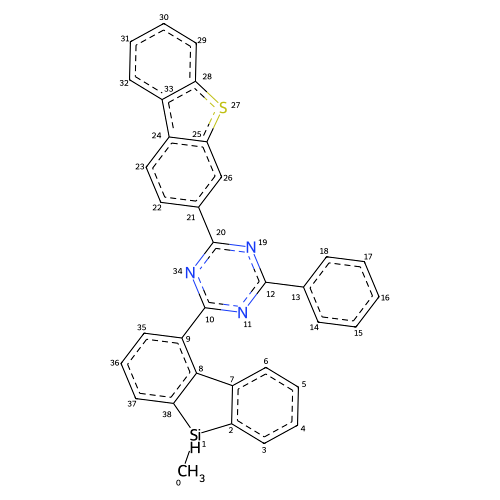 C[SiH]1c2ccccc2-c2c(-c3nc(-c4ccccc4)nc(-c4ccc5c(c4)sc4ccccc45)n3)cccc21